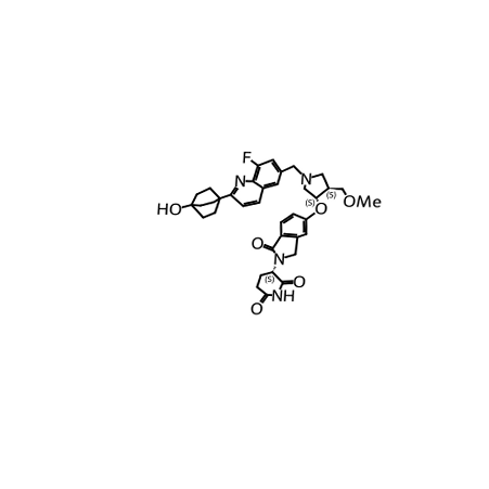 COC[C@@H]1CN(Cc2cc(F)c3nc(C45CCC(O)(CC4)CC5)ccc3c2)C[C@H]1Oc1ccc2c(c1)CN([C@H]1CCC(=O)NC1=O)C2=O